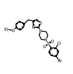 CCOc1ccc(Cc2csc(N3CCN(S(=O)(=O)c4ccc(Br)cc4Cl)CC3)n2)cc1